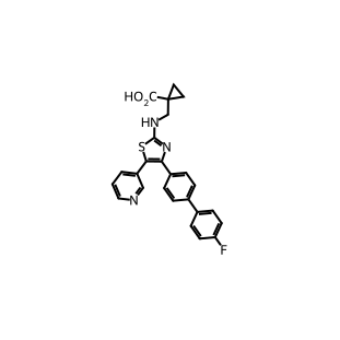 O=C(O)C1(CNc2nc(-c3ccc(-c4ccc(F)cc4)cc3)c(-c3cccnc3)s2)CC1